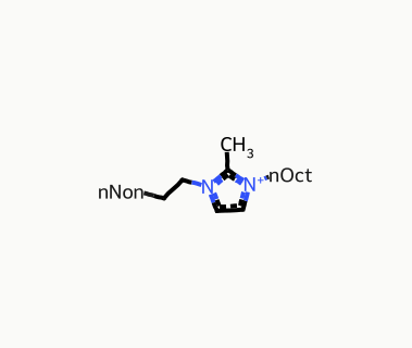 CCCCCCCCCCCn1cc[n+](CCCCCCCC)c1C